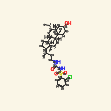 CC[C@H]1C[C@@H]2[C@H](CC[C@]3(C)[C@@H]([C@H](C)CCNC(=O)NS(=O)(=O)c4ccccc4Cl)CC[C@@H]23)[C@@]2(C)CC[C@@H](O)C[C@@H]12